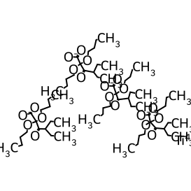 CCCCOC(OCCCC)(C(=O)[O-])C(=O)C(CC)CC.CCCCOC(OCCCC)(C(=O)[O-])C(=O)C(CC)CC.CCCCOC(OCCCC)(C(=O)[O-])C(=O)C(CC)CC.CCCCOC(OCCCC)(C(=O)[O-])C(=O)C(CC)CC.[Ti+4]